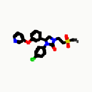 CS(=O)(=O)CCN1CC(c2cccc(Oc3cccnc3)c2)N(c2ccc(Cl)cc2)C1=O